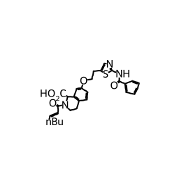 CCCCC=CC(=O)N1CCc2ccc(OCCc3cnc(NC(=O)c4ccccc4)s3)cc2C1C(=O)O